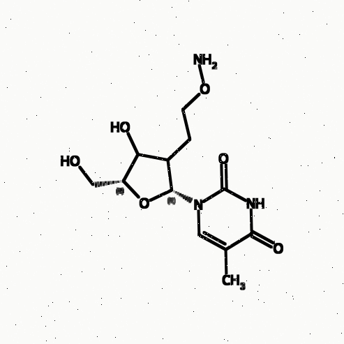 Cc1cn([C@@H]2O[C@H](CO)C(O)C2CCON)c(=O)[nH]c1=O